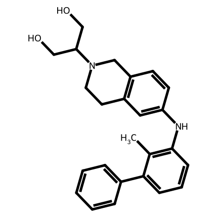 Cc1c(Nc2ccc3c(c2)CCN(C(CO)CO)C3)cccc1-c1ccccc1